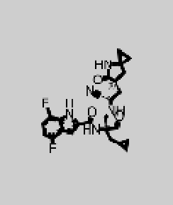 N#C[C@H](C[C@@H]1CC2(CC2)NC1=O)NC[C@@](C=O)(CC1CC1)NC(=O)c1cc2c(F)ccc(F)c2[nH]1